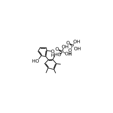 Cc1cc(-c2c(O)cccc2O)c(C)c(C)c1C.O=P(O)(O)O.O=P(O)(O)O